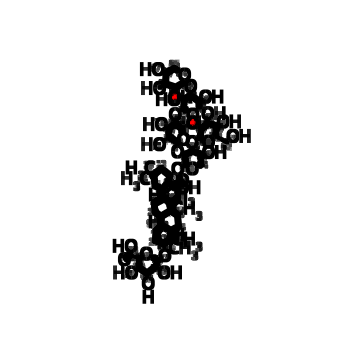 C[C@@H]1O[C@@H](O[C@H]2[C@H](OC(=O)[C@]34CCC(C)(C)C[C@H]3C3=CC[C@@H]5[C@@]6(C)CC[C@H](O[C@@H]7O[C@H](C(=O)O)[C@@H](O)[C@H](O)[C@H]7O)C(C)(C)[C@@H]6CC[C@@]5(C)[C@]3(C)C[C@H]4O)OC[C@H](O)[C@@H]2O[C@@H]2O[C@H](CO)[C@@H](O)[C@H](O)[C@H]2O)[C@H](O)[C@H](O)[C@H]1O[C@@H]1OC[C@@H](O)[C@H](O[C@@H]2OC[C@@H](O)[C@H](O)[C@H]2O)[C@H]1O